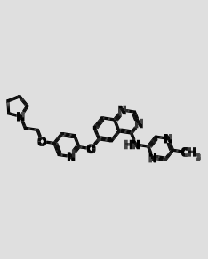 Cc1cnc(Nc2ncnc3ccc(Oc4ccc(OCCN5CCCC5)cn4)cc23)cn1